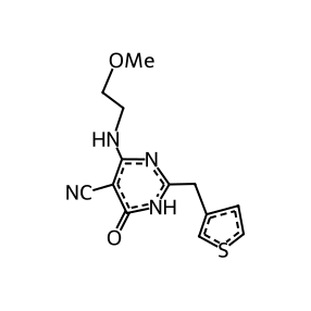 COCCNc1nc(Cc2ccsc2)[nH]c(=O)c1C#N